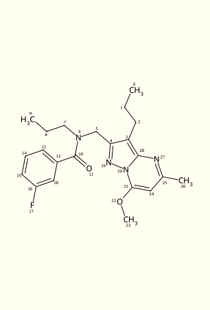 CCCc1c(CN(CCC)C(=O)c2cccc(F)c2)nn2c(OC)cc(C)nc12